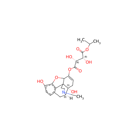 CC(C)OC(=O)[C@H](O)[C@@H](O)C(=O)OC1=CC[C@@]2(O)[C@H]3Cc4ccc(O)c5c4C2(CCN3C)C1O5